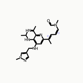 CC(=N)c1nc(/C(C)=C/C=C\N(C)C=O)cc(NCc2cnn(C)c2)c1NC(C)C